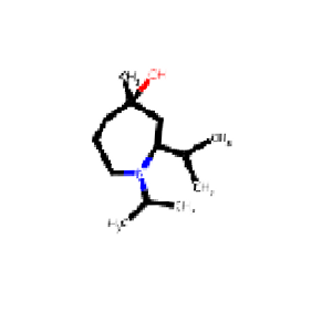 CC(C)C1CC(C)(O)CCCN1C(C)C